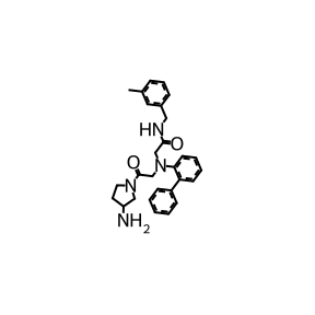 Cc1cccc(CNC(=O)CN(CC(=O)N2CCC(N)C2)c2ccccc2-c2ccccc2)c1